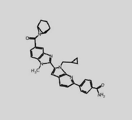 Cn1c(-c2cc3ccc(-c4ccc(C(N)=O)cc4)nc3n2CC2CC2)nc2cc(C(=O)N3CC4CCC3C4)ccc21